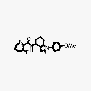 COc1ccc(-n2ncc3c2CCCC3NC(=O)c2ncccc2F)cc1